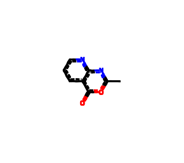 Cc1nc2ncccc2c(=O)o1